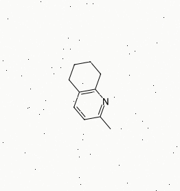 Cc1ccc2c(n1)CCCC2